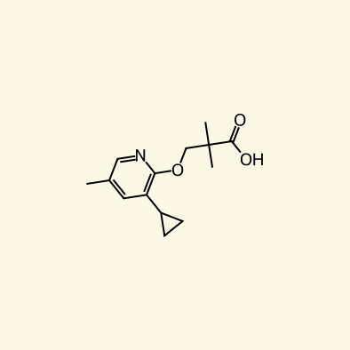 Cc1cnc(OCC(C)(C)C(=O)O)c(C2CC2)c1